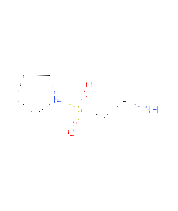 NCCS(=O)(=O)N1CCCC1